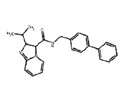 CC(C)C1N=C2C=CC=CN2C1C(=O)NCc1ccc(-c2ccccc2)cc1